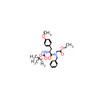 CCOC(=O)CN(Cc1ccccc1)C(=O)C(Cc1ccc(OC)cc1)NC(=O)OC(C)(C)C